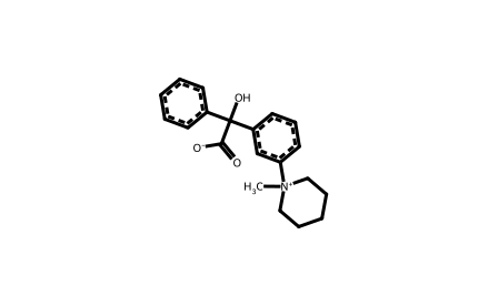 C[N+]1(c2cccc(C(O)(C(=O)[O-])c3ccccc3)c2)CCCCC1